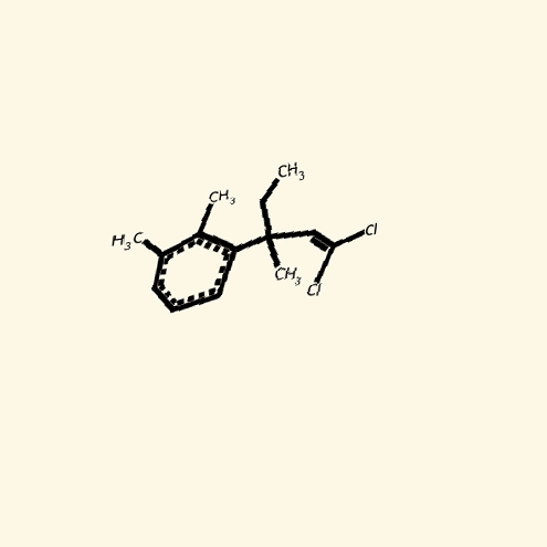 CCC(C)(C=C(Cl)Cl)c1cccc(C)c1C